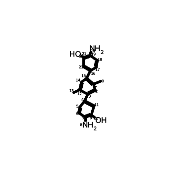 Cc1cc(-c2ccc(N)c(O)c2)c(C)cc1-c1ccc(N)c(O)c1